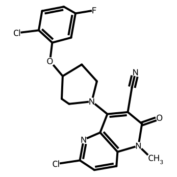 Cn1c(=O)c(C#N)c(N2CCC(Oc3cc(F)ccc3Cl)CC2)c2nc(Cl)ccc21